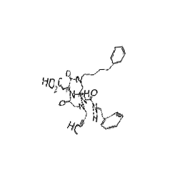 C#CCN1CC(=O)N2[C@@H](CC(=O)O)C(=O)N(CCCCc3ccccc3)C[C@@H]2N1C(=O)NCc1ccccc1